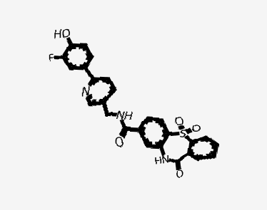 O=C(NCc1ccc(-c2ccc(O)c(F)c2)nc1)c1ccc2c(c1)NC(=O)c1ccccc1S2(=O)=O